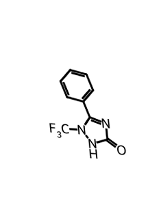 O=c1nc(-c2ccccc2)n(C(F)(F)F)[nH]1